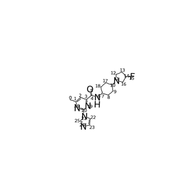 Cc1cc(C(=O)NC2CCC(N3CC[C@@H](F)C3)CC2)nc(-n2ccnc2)n1